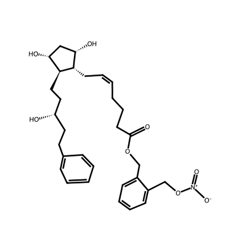 O=C(CCC/C=C\C[C@@H]1[C@@H](CC[C@@H](O)CCc2ccccc2)[C@H](O)C[C@@H]1O)OCc1ccccc1CO[N+](=O)[O-]